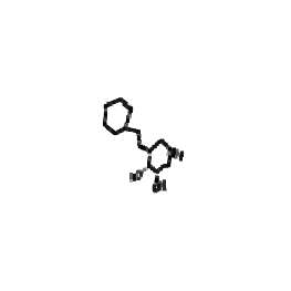 O[C@@H]1[C@@H](CCC2CCCCC2)CNC[C@H]1O